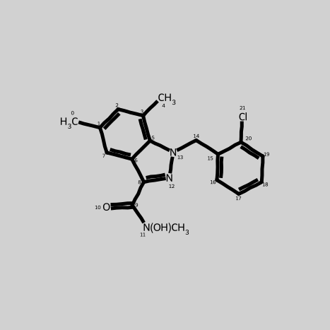 Cc1cc(C)c2c(c1)c(C(=O)N(C)O)nn2Cc1ccccc1Cl